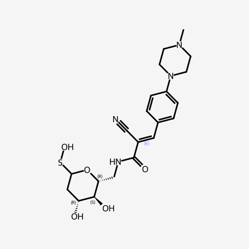 CN1CCN(c2ccc(/C=C(\C#N)C(=O)NC[C@H]3OC(SO)C[C@@H](O)[C@@H]3O)cc2)CC1